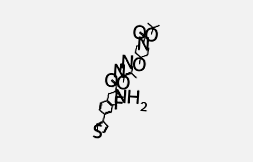 Cc1c(OC(=O)[C@@H](N)Cc2ccc(-c3ccsc3)cc2F)ncnc1OC1CCN(C(=O)OC(C)C)CC1